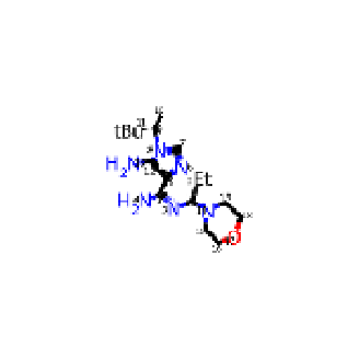 CCC(/N=C(/N)c1ncn([C@@H](C)C(C)(C)C)c1N)N1CCOCC1